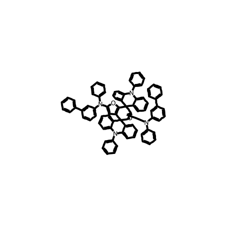 c1ccc(-c2cccc(N(c3ccccc3)c3cc4c(o3)C3(c5ccccc5N(c5ccccc5)c5ccccc53)c3cc(N(c5ccccc5)c5cccc(-c6ccccc6)c5)oc3C43c4ccccc4N(c4ccccc4)c4ccccc43)c2)cc1